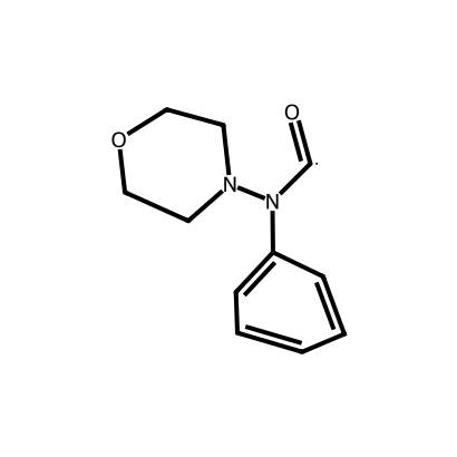 O=[C]N(c1ccccc1)N1CCOCC1